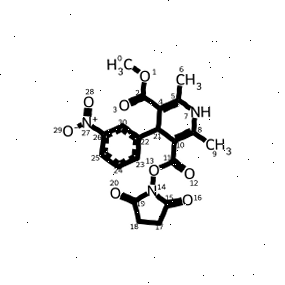 COC(=O)C1=C(C)NC(C)=C(C(=O)ON2C(=O)CCC2=O)C1c1cccc([N+](=O)[O-])c1